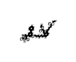 CCOC(=O)CCCOc1cccc(CCCCCCOc2cc(-c3ccccc3)cc(-c3cn(C)c(=O)n(C)c3=O)c2)c1CCC(=O)OCC